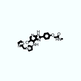 CNC(=O)COc1ccc(-c2nc3c(N[C@H]4CCN(Cc5nccs5)C4)c(Cl)cnc3[nH]2)cc1